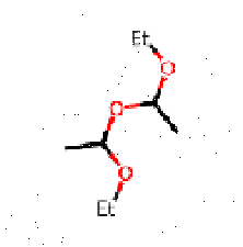 CCOC(C)OC(C)OCC